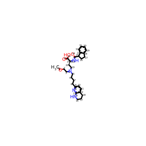 COCCN(CCCCc1ccc2c(n1)NCCC2)CC[C@H](NC(=O)C1CCc2ccccc21)C(=O)O